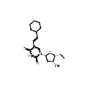 CC[C@H]1O[C@@H](n2cc(/C=C/C3CCCCC3)c(=O)[nH]c2=O)C[C@H]1O